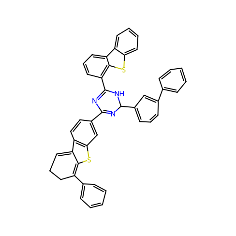 C1=c2c(sc3cc(C4=NC(c5cccc(-c6ccccc6)c5)NC(c5cccc6c5sc5ccccc56)=N4)ccc23)=C(c2ccccc2)CC1